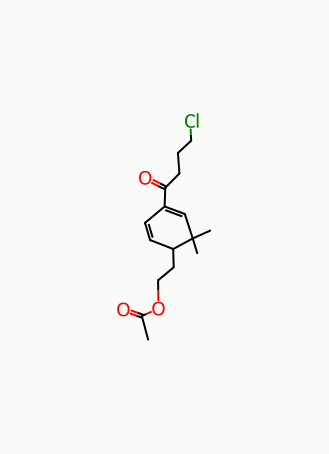 CC(=O)OCCC1C=CC(C(=O)CCCCl)=CC1(C)C